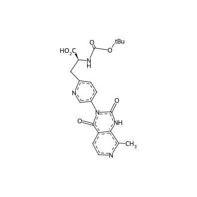 Cc1nccc2c(=O)n(-c3ccc(C[C@H](NC(=O)OC(C)(C)C)C(=O)O)nc3)c(=O)[nH]c12